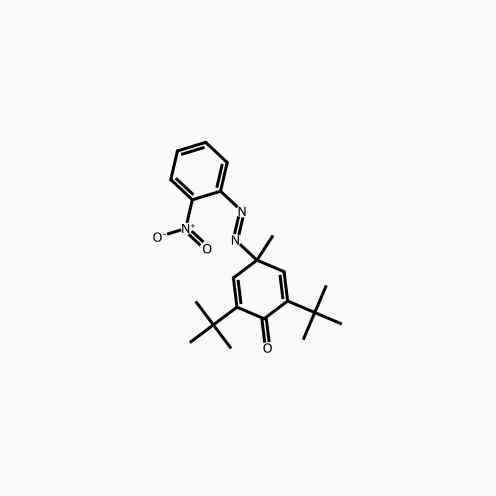 CC1(N=Nc2ccccc2[N+](=O)[O-])C=C(C(C)(C)C)C(=O)C(C(C)(C)C)=C1